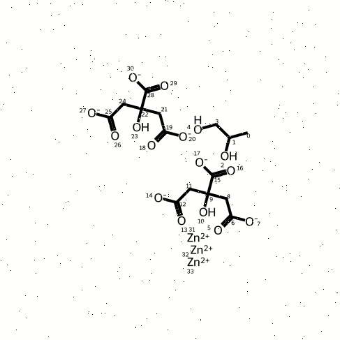 CC(O)CO.O=C([O-])CC(O)(CC(=O)[O-])C(=O)[O-].O=C([O-])CC(O)(CC(=O)[O-])C(=O)[O-].[Zn+2].[Zn+2].[Zn+2]